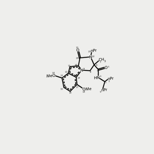 CCCC(CCC)NC(=O)C1(C)Cn2c(cc3c(OC)ccc(OC)c32)C(=O)N1CCC